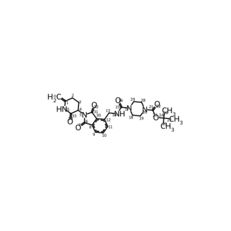 C=C1CCC(N2C(=O)c3cccc(CNC(=O)N4CCN(C(=O)OC(C)(C)C)CC4)c3C2=O)C(=O)N1